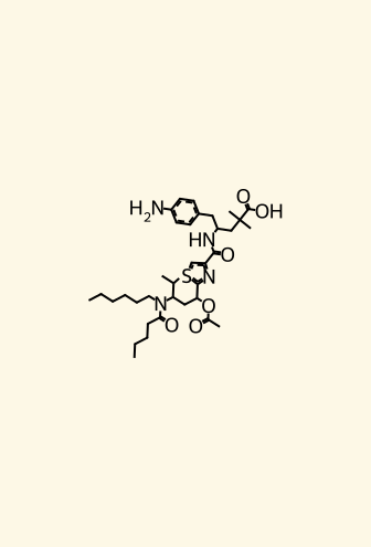 CCCCCCN(C(=O)CCCC)C(CC(OC(C)=O)c1nc(C(=O)NC(Cc2ccc(N)cc2)CC(C)(C)C(=O)O)cs1)C(C)C